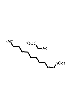 CC(=O)CC(=O)[O-].CCCCCCCC/C=C\CCCCCCC[CH2][Al+]